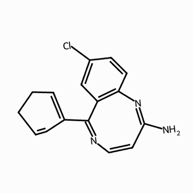 NC1=Nc2ccc(Cl)cc2C(C2=CCCC=C2)=NC=C1